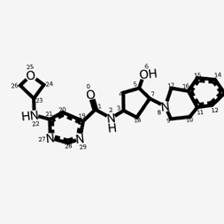 O=C(NC1CC(O)C(N2CCc3ccccc3C2)C1)c1cc(NC2COC2)ncn1